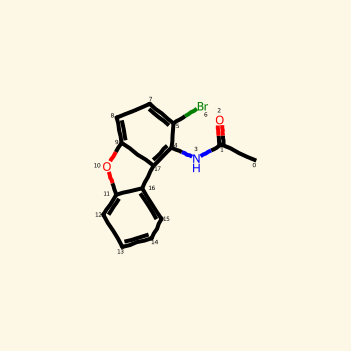 CC(=O)Nc1c(Br)ccc2oc3ccccc3c12